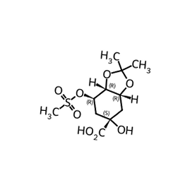 CC1(C)O[C@@H]2[C@@H](C[C@@](O)(C(=O)O)C[C@H]2OS(C)(=O)=O)O1